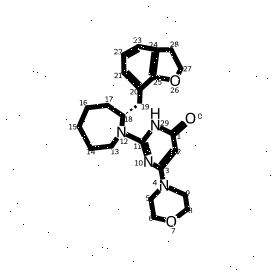 O=c1cc(N2CCOCC2)nc(N2CCCCC[C@@H]2Cc2cccc3c2OCC3)[nH]1